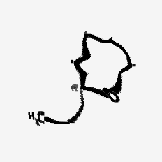 CC[C@@H]1[CH][CH][CH][CH]O1